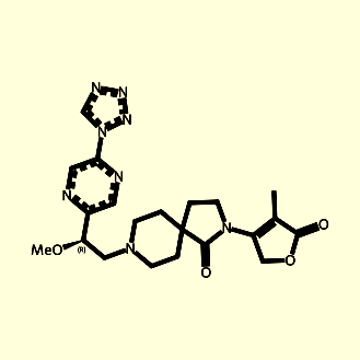 CO[C@H](CN1CCC2(CC1)CCN(C1=C(C)C(=O)OC1)C2=O)c1cnc(-n2cnnn2)cn1